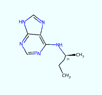 CC[C@H](C)Nc1ncnc2[nH]cnc12